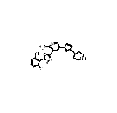 Nc1ncc(-c2ccn(C3CCNCC3)c2)cc1-c1nnc(-c2c(Cl)cccc2Cl)o1